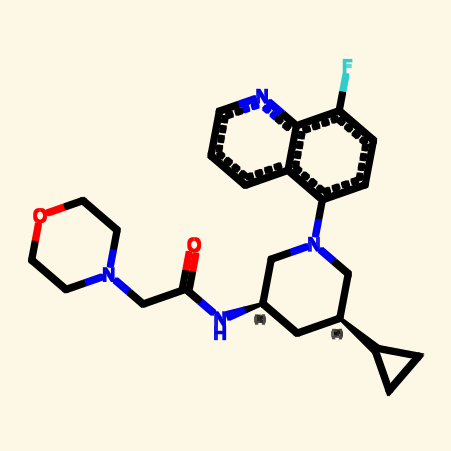 O=C(CN1CCOCC1)N[C@@H]1C[C@H](C2CC2)CN(c2ccc(F)c3ncccc23)C1